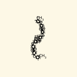 Cc1cccc(Oc2ccc(S(=O)(=O)c3ccc(Oc4ccc(C(c5ccc(Oc6ccc(S(=O)(=O)c7ccc(Oc8cccc(C)c8)cc7)cc6)cc5)(C(F)(F)F)C(F)(F)F)cc4)cc3)cc2)c1